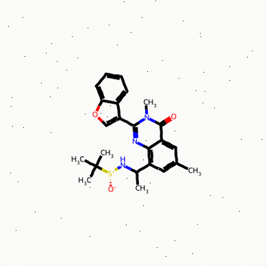 Cc1cc(C(C)N[S@+]([O-])C(C)(C)C)c2nc(-c3coc4ccccc34)n(C)c(=O)c2c1